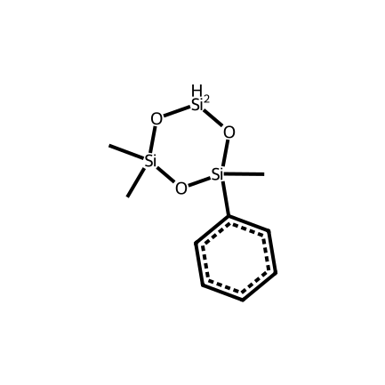 C[Si]1(C)O[SiH2]O[Si](C)(c2ccccc2)O1